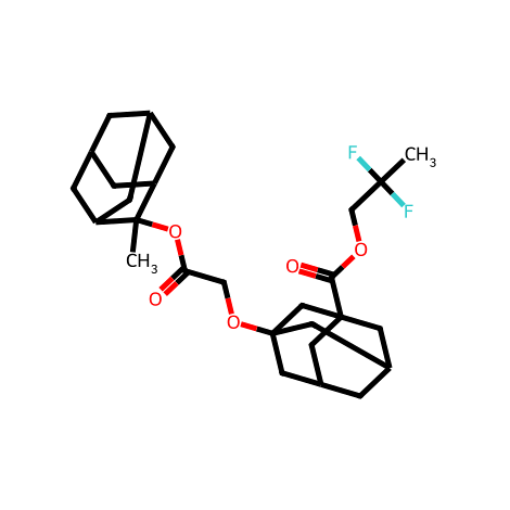 CC(F)(F)COC(=O)C12CC3CC(CC(OCC(=O)OC4(C)C5CC6CC(C5)CC4C6)(C3)C1)C2